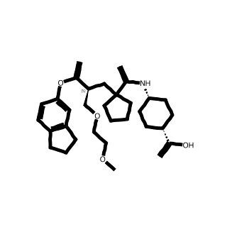 C=C(Oc1ccc2c(c1)CCC2)[C@H](COCCOC)CC1(C(=C)N[C@H]2CC[C@@H](C(=C)O)CC2)CCCC1